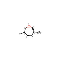 CC1CCC(C(C)C)=COC1